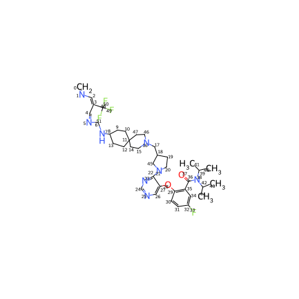 C=N/C=C(\C=N/CNC1CCC2(CC1)CCN(CC1CCN(c3ncncc3Oc3ccc(F)cc3C(=O)N(C(C)C)C(C)C)C1)CC2)C(F)(F)F